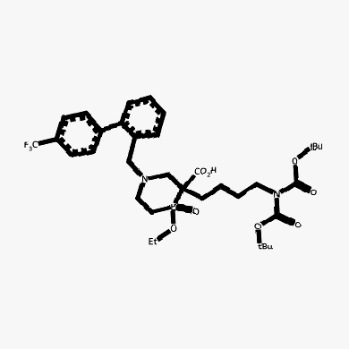 CCOP1(=O)CCN(Cc2ccccc2-c2ccc(C(F)(F)F)cc2)CC1(CCCCN(C(=O)OC(C)(C)C)C(=O)OC(C)(C)C)C(=O)O